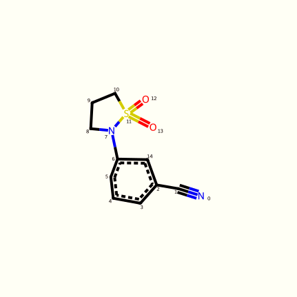 N#Cc1cccc(N2CCCS2(=O)=O)c1